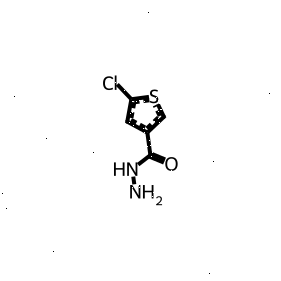 NNC(=O)c1csc(Cl)c1